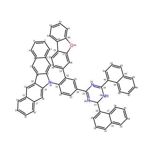 c1ccc2cc3c(cc2c1)c1cc2ccccc2cc1n3-c1ccc(C2=NC(c3cccc4ccccc34)NC(c3cccc4ccccc34)=N2)cc1-c1ccc2c(c1)oc1ccccc12